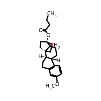 CCCC(=O)O[C@]12CC[C@]3(CC1)[C@@H]1CCc4cc(OC)ccc4[C@H]1CC[C@]23C